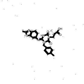 Cc1ccc(Cn2c(=O)n(C[C@H](C)C(=O)O)c(=O)[nH]/c2=N\c2ccc3nc(C)sc3c2)cc1